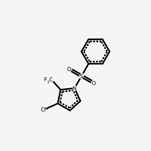 O=S(=O)(c1ccccc1)n1ccc(Cl)c1C(F)(F)F